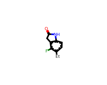 CCc1ccc2c(c1F)CC(=O)N2